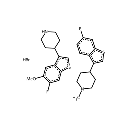 Br.CN1CCC(c2csc3cc(F)ccc23)CC1.COc1cc2c(C3CCNCC3)csc2cc1F